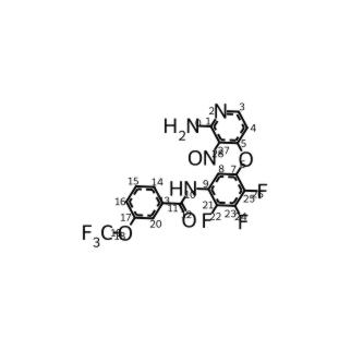 Nc1nccc(Oc2cc(NC(=O)c3cccc(OC(F)(F)F)c3)c(F)c(F)c2F)c1N=O